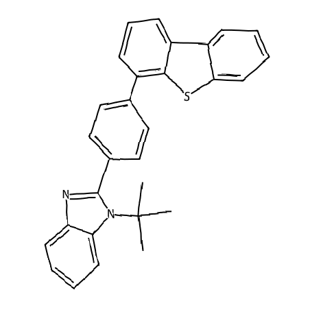 CC(C)(C)n1c(-c2ccc(-c3cccc4c3sc3ccccc34)cc2)nc2ccccc21